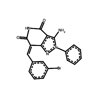 Nc1c2c(nn1-c1ccccc1)/C(=C\c1cccc(Br)c1)C(=O)NC2=O